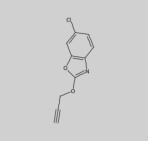 C#CCOc1nc2ccc(Cl)cc2o1